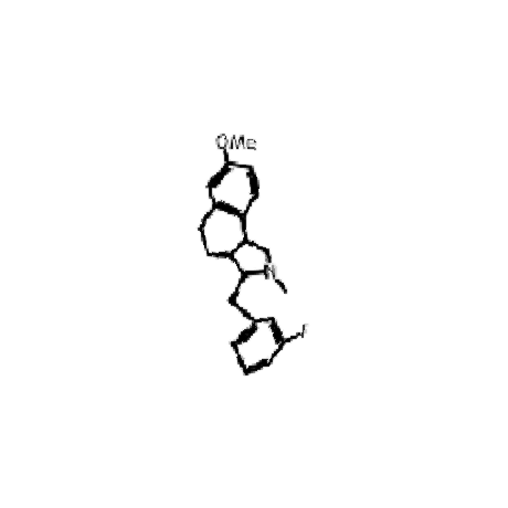 COc1ccc2c(c1)CCC1C2CN(C)C1Cc1cccc(F)c1